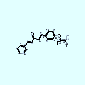 O=C(C=Cc1ccccc1)C=Cc1ccc(OC(F)=C(F)F)cc1